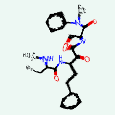 CCN(C(=O)c1coc(C(=O)C(CCc2ccccc2)NC(=O)C(CC(C)C)NC(=O)O)n1)c1ccccc1